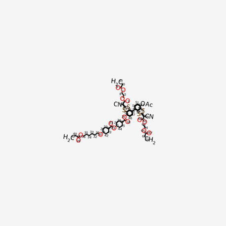 [C-]#[N+]/C(C(=O)OCCOC(=O)C=C)=C1\Sc2c(OC(=O)C3CCC(OC(=O)C4CCC(OCCCCCCOC(=O)C=C)CC4)CC3)ccc(-c3ccc(OC(C)=O)c4c3S/C(=C(/C#N)C(=O)OCCOC(=O)C=C)S4)c2S1